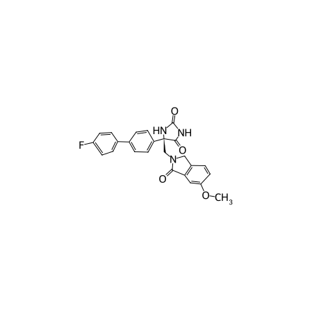 COc1ccc2c(c1)C(=O)N(C[C@@]1(c3ccc(-c4ccc(F)cc4)cc3)NC(=O)NC1=O)C2